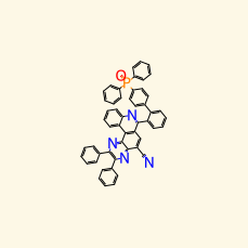 N#Cc1cc2c(-c3ccccc3-c3ccc(P(=O)(c4ccccc4)c4ccccc4)cc3)nc3ccccc3c2c2nc(-c3ccccc3)c(-c3ccccc3)nc12